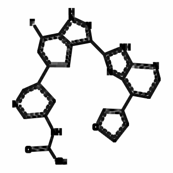 CC(C)(C)C(=O)Nc1cncc(-c2cc(F)c3[nH]nc(-c4nc5c(-c6ccoc6)ccnc5[nH]4)c3c2)c1